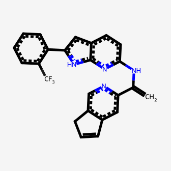 C=C(Nc1ccc2cc(-c3ccccc3C(F)(F)F)[nH]c2n1)c1cc2c(cn1)CC=C2